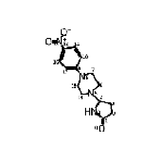 O=C1CCC(N2CCN(c3ccc([N+](=O)[O-])cc3)CC2)N1